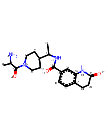 CC(N)C(=O)N1CCC(C(C)NC(=O)c2ccc3c(c2)NC(=O)CC3)CC1